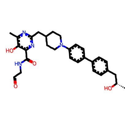 Cc1nc(CC2CCN(c3ccc(-c4ccc(C[C@H](C)O)cc4)cc3)CC2)nc(C(=O)NCC=O)c1O